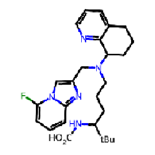 CC(C)(C)C(CCCN(Cc1cn2c(F)cccc2n1)C1CCCc2cccnc21)NC(=O)O